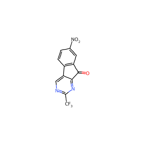 O=C1c2cc([N+](=O)[O-])ccc2-c2cnc(C(F)(F)F)nc21